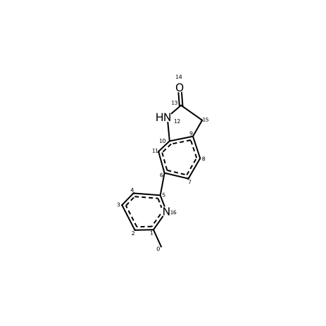 Cc1cccc(-c2ccc3c(c2)NC(=O)C3)n1